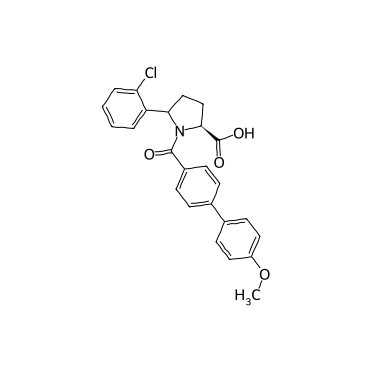 COc1ccc(-c2ccc(C(=O)N3C(c4ccccc4Cl)CC[C@H]3C(=O)O)cc2)cc1